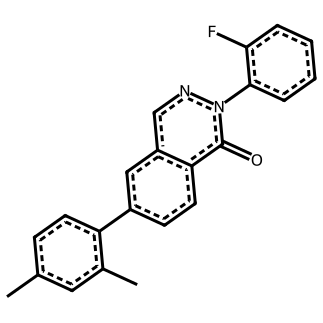 Cc1ccc(-c2ccc3c(=O)n(-c4ccccc4F)ncc3c2)c(C)c1